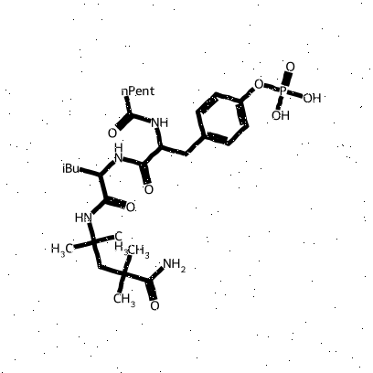 CCCCCC(=O)NC(Cc1ccc(OP(=O)(O)O)cc1)C(=O)NC(C(=O)NC(C)(C)CC(C)(C)C(N)=O)C(C)CC